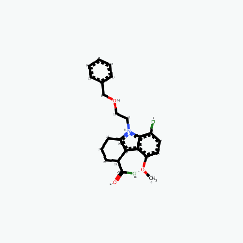 COc1ccc(Cl)c2c1c1c(n2CCOCc2ccccc2)CCCC1C(=O)Cl